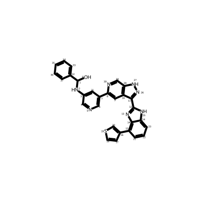 OC(Nc1cncc(-c2cc3c(-c4nc5c(-c6ccsc6)cccc5[nH]4)n[nH]c3cn2)c1)c1ccccc1